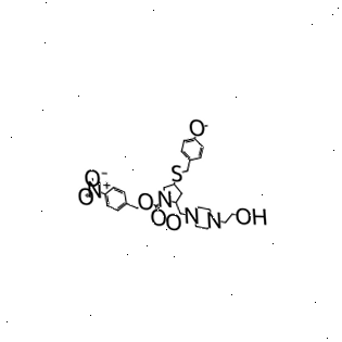 COc1ccc(CSC2CC(C(=O)N3CCN(CCO)CC3)N(C(=O)OCc3ccc([N+](=O)[O-])cc3)C2)cc1